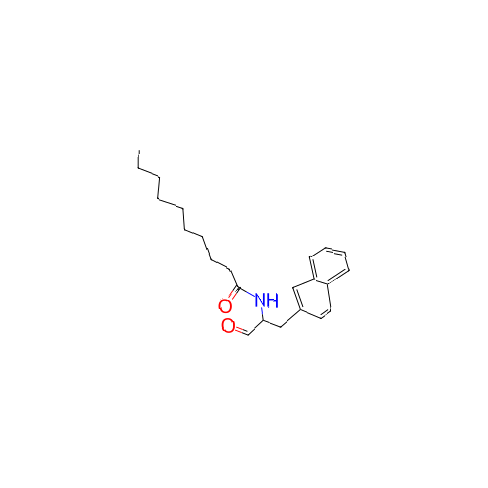 CCCCCCCCCC(=O)NC(C=O)Cc1ccc2ccccc2c1